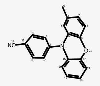 Cc1ccc2c(c1)N(c1ccc(C#N)cc1)c1ccccc1O2